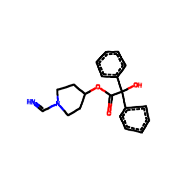 N=CN1CCC(OC(=O)C(O)(c2ccccc2)c2ccccc2)CC1